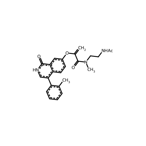 C=C(Oc1ccc2c(-c3ccccc3C)c[nH]c(=O)c2c1)C(=O)N(C)CCNC(C)=O